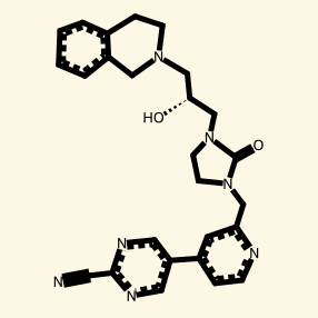 N#Cc1ncc(-c2ccnc(CN3CCN(C[C@H](O)CN4CCc5ccccc5C4)C3=O)c2)cn1